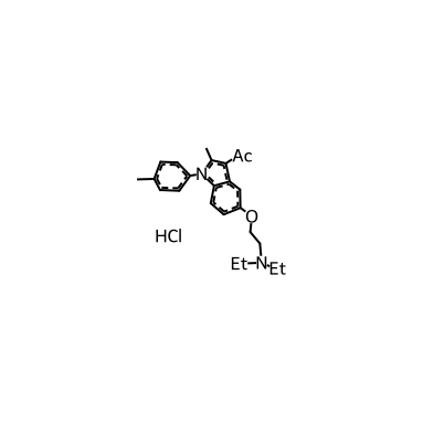 CCN(CC)CCOc1ccc2c(c1)c(C(C)=O)c(C)n2-c1ccc(C)cc1.Cl